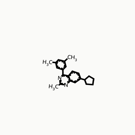 Cc1cc(C)cc(-c2nc(C)nc3cc(C4CCCC4)ccc23)c1